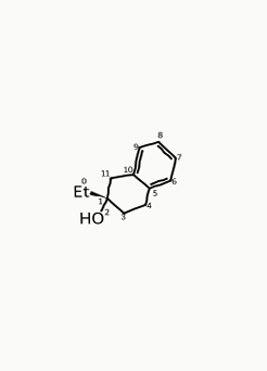 CC[C@]1(O)CCc2ccccc2C1